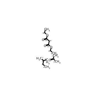 CC(C)=O.CCC(C)C.CCOC(=O)CC(=O)OCC